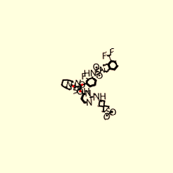 O=C(O)N1CC2CCC(C1)N2c1nc(-c2cccc(NS(=O)(=O)N3Cc4cccc(C(F)F)c4C3)c2F)c(-c2ccnc(NC3CC4(C3)CS(=O)(=O)C4)n2)s1